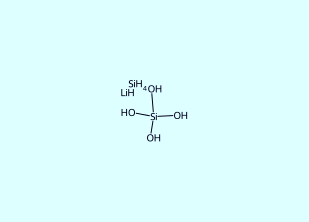 O[Si](O)(O)O.[LiH].[SiH4]